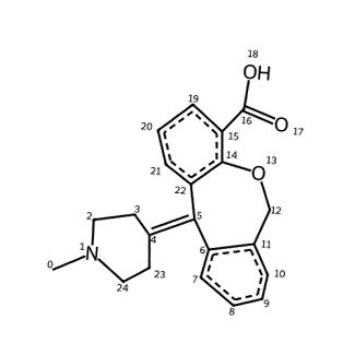 CN1CCC(=C2c3ccccc3COc3c(C(=O)O)cccc32)CC1